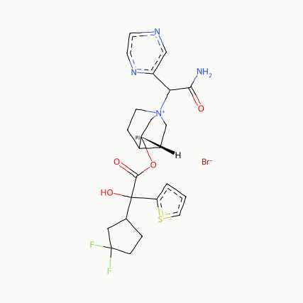 NC(=O)C(c1cnccn1)[N+]12CCC(CC1)[C@@H](OC(=O)C(O)(c1cccs1)C1CCC(F)(F)C1)C2.[Br-]